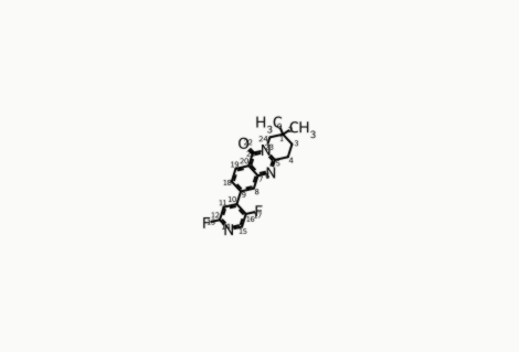 CC1(C)CCc2nc3cc(-c4cc(F)ncc4F)ccc3c(=O)n2C1